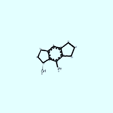 CC(C)c1c2c(cc3c1[C@H](O)CC3)CCC2